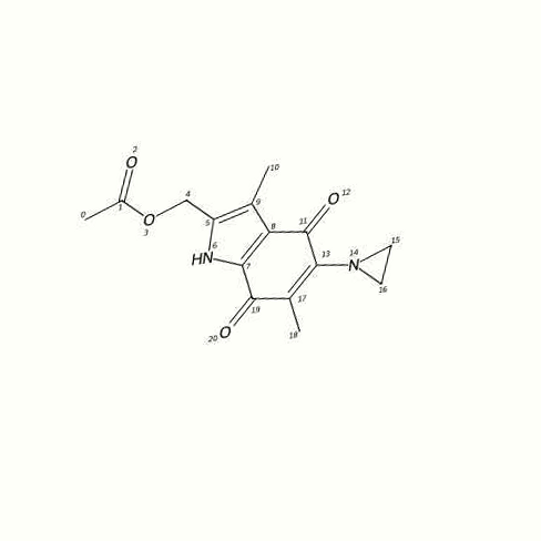 CC(=O)OCc1[nH]c2c(c1C)C(=O)C(N1CC1)=C(C)C2=O